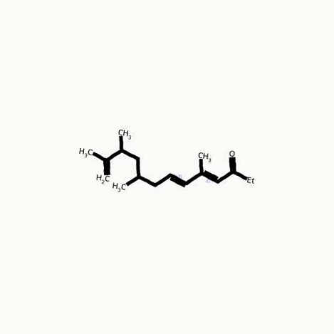 C=C(C)C(C)CC(C)C/C=C/C(C)=C/C(=O)CC